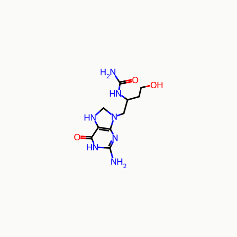 NC(=O)NC(CCO)CN1CNc2c1nc(N)[nH]c2=O